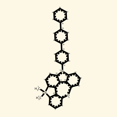 C[Si]1(C)c2cccc3oc4cccc5c4c4c(c1ccc4n5-c1ccc(-c4ccc(-c5ccccc5)cc4)cc1)c23